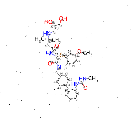 CNC(=O)Nc1ccccc1-c1ccc(CN2Cc3ccc(OC)cc3S[C@@H](NC(=O)CC(C)(C)NC[C@H](O)CO)C2=O)cc1